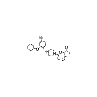 O=C(ON1C(=O)CCC1=O)N1CCN(Cc2ccc(Br)cc2Oc2ccccc2)CC1